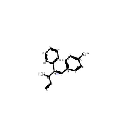 C=CC(O)/C(=C/c1ccc(Cl)cc1)c1ccccc1